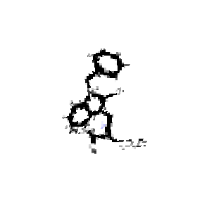 CCOC(=O)/C(=C/c1c(Cl)n(Cc2ccccc2)c2ccccc12)C(=O)NC